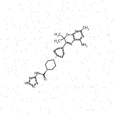 Cc1nc(N)c2c(n1)OC(C)(C)C(c1ccc([C@H]3CC[C@H](C(=O)Nc4nn[nH]n4)CC3)cc1)=N2